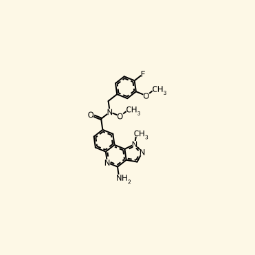 COc1cc(CN(OC)C(=O)c2ccc3nc(N)c4cnn(C)c4c3c2)ccc1F